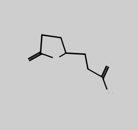 CC(C)C(=O)CCC1CCC(=O)O1